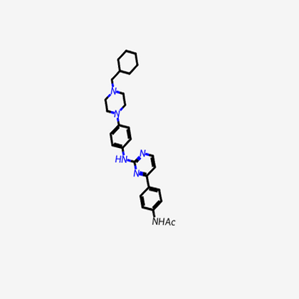 CC(=O)Nc1ccc(-c2ccnc(Nc3ccc(N4CCN(CC5CCCCC5)CC4)cc3)n2)cc1